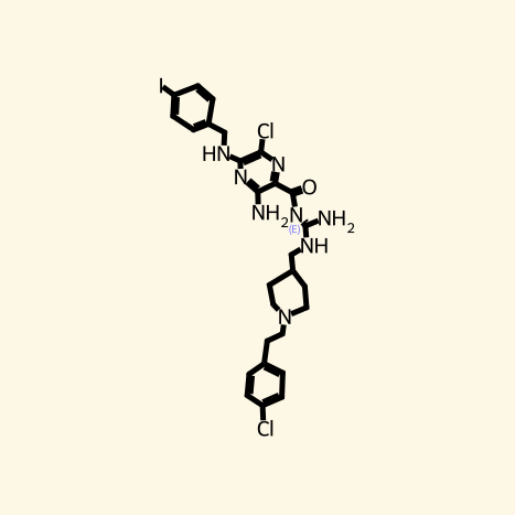 N/C(=N\C(=O)c1nc(Cl)c(NCc2ccc(I)cc2)nc1N)NCC1CCN(CCc2ccc(Cl)cc2)CC1